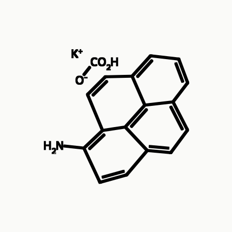 Nc1ccc2ccc3cccc4ccc1c2c34.O=C([O-])O.[K+]